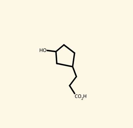 O=C(O)CCC1CCC(O)C1